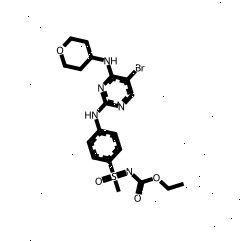 CCOC(=O)N=S(C)(=O)c1ccc(Nc2ncc(Br)c(NC3CCOCC3)n2)cc1